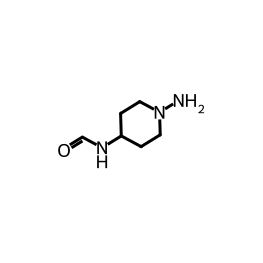 NN1CCC(NC=O)CC1